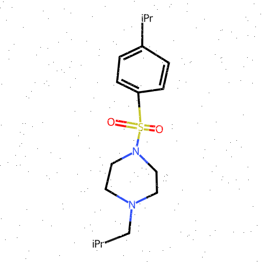 CC(C)CN1CCN(S(=O)(=O)c2ccc(C(C)C)cc2)CC1